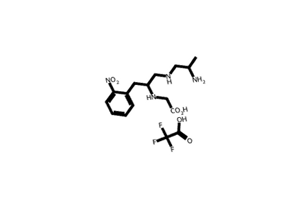 CC(N)CNCC(Cc1ccccc1[N+](=O)[O-])NCC(=O)O.O=C(O)C(F)(F)F